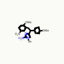 COc1ccc(C(Cc2cc([N+](=O)[O-])ccc2OC)c2cn(C(C)C)c(N)n2)cc1